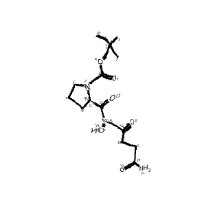 CC(C)(C)OC(=O)N1CCC[C@@H]1C(=O)N(O)C(=O)CCC(N)=O